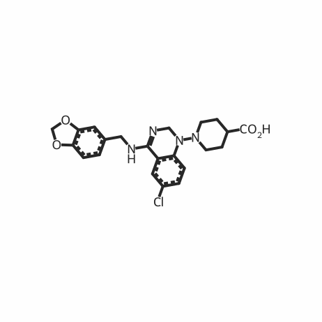 O=C(O)C1CCN(N2CN=C(NCc3ccc4c(c3)OCO4)c3cc(Cl)ccc32)CC1